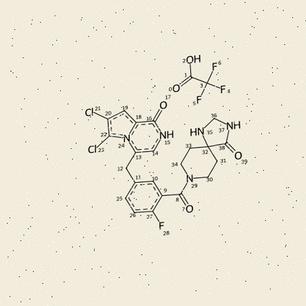 O=C(O)C(F)(F)F.O=C(c1cc(Cc2c[nH]c(=O)c3cc(Cl)c(Cl)n23)ccc1F)N1CCC2(CC1)NCNC2=O